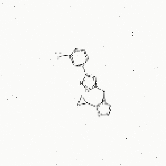 FC(F)(F)c1cccc(-n2cc(Cn3ccnc3C3CC3)nn2)c1